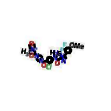 COc1ccc(-c2cnc(C(=O)Nc3ccc(C(=O)N4CCN(C(=O)C[N+]5(C)CCOCC5)CC4)c(Cl)c3)n2C)c(F)c1F